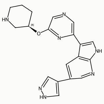 c1n[nH]cc1-c1cnc2[nH]cc(-c3cncc(O[C@@H]4CCCNC4)n3)c2c1